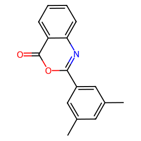 Cc1cc(C)cc(-c2nc3ccccc3c(=O)o2)c1